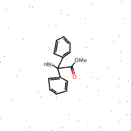 CCCCC(C(=O)OC)(c1ccccc1)c1ccccc1